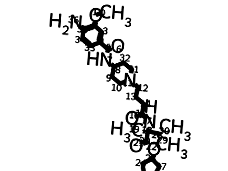 COc1cc(C(=O)NC2CCN(CCCC(=O)N[C@](C)(C(=O)OC3CCCC3)C(C)C)CC2)ccc1N